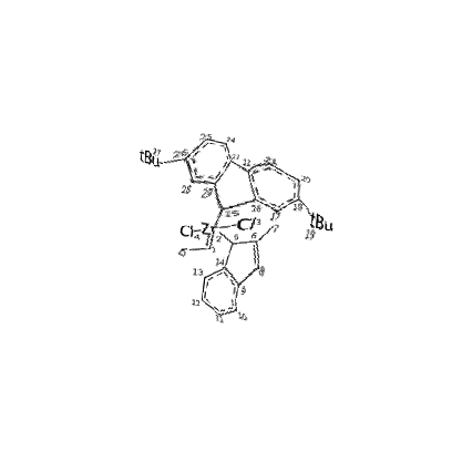 C[CH]=[Zr]([Cl])([Cl])([CH]1C(C)=Cc2ccccc21)[CH]1c2cc(C(C)(C)C)ccc2-c2ccc(C(C)(C)C)cc21